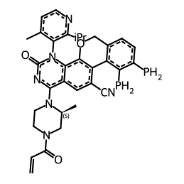 C=CC(=O)N1CCN(c2nc(=O)n(-c3c(C)ccnc3C(C)C)c3c4c(c(C#N)cc23)-c2c(ccc(P)c2P)CO4)[C@@H](C)C1